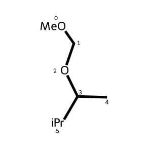 COCOC(C)C(C)C